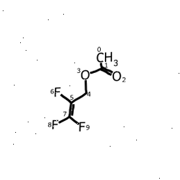 CC(=O)OCC(F)=C(F)F